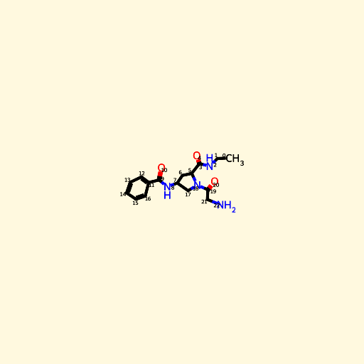 CCNC(=O)C1CC(NC(=O)c2ccccc2)CN1C(=O)CN